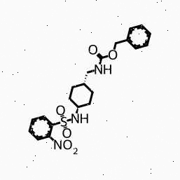 O=C(NC[C@H]1CC[C@H](NS(=O)(=O)c2ccccc2[N+](=O)[O-])CC1)OCc1ccccc1